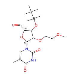 COCCOC1C(O[Si](C)(C)C(C)(C)C)[C@@H](C=O)O[C@H]1n1cc(C)c(=O)[nH]c1=O